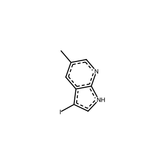 Cc1cnc2[nH]cc(I)c2c1